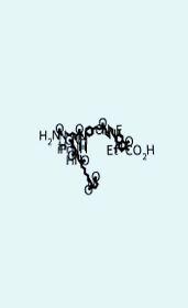 CCn1cc(C(=O)O)c(=O)c2cc(F)c(N3CCN(C(=O)OCc4ccc(NC(=O)C(CCCNC(N)=O)NC(=O)C(NC(=O)CNC(=O)CCCCCN5C(=O)CCC5=O)C(C)C)cc4)CC3)cc21